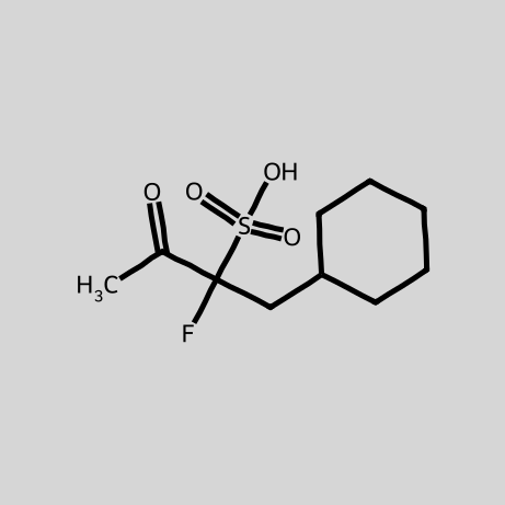 CC(=O)C(F)(CC1CCCCC1)S(=O)(=O)O